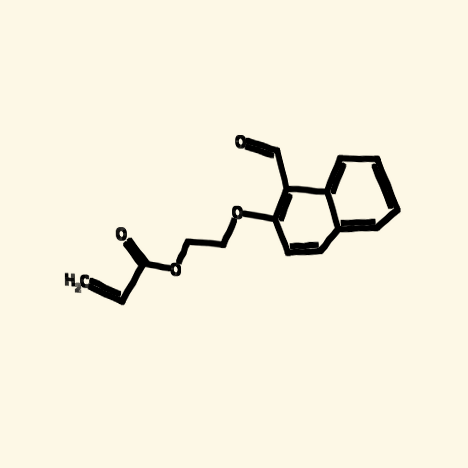 C=CC(=O)OCCOc1ccc2ccccc2c1C=O